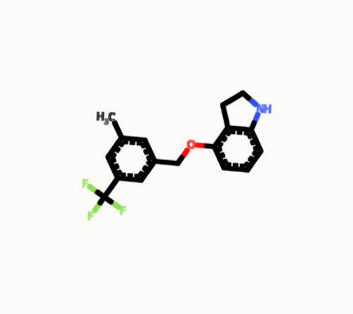 Cc1cc(COc2cccc3c2CCN3)cc(C(F)(F)F)c1